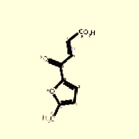 Cc1ccc(C(=O)/C=C/C(=O)O)o1